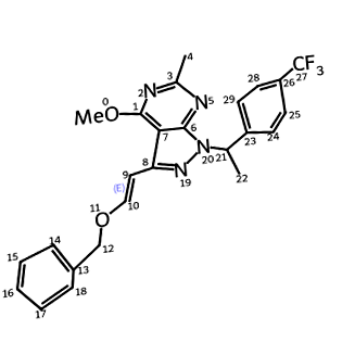 COc1nc(C)nc2c1c(/C=C/OCc1ccccc1)nn2C(C)c1ccc(C(F)(F)F)cc1